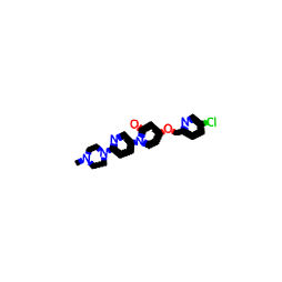 CN1CCN(c2ccc(-n3ccc(OCc4ccc(Cl)cn4)cc3=O)cn2)CC1